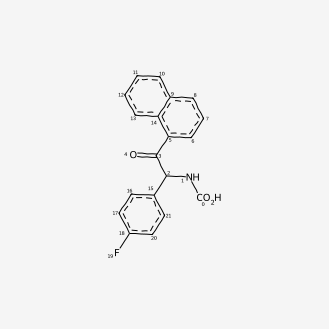 O=C(O)NC(C(=O)c1cccc2ccccc12)c1ccc(F)cc1